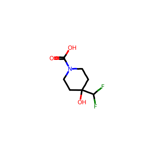 O=C(O)N1CCC(O)(C(F)F)CC1